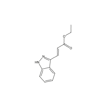 CCOC(=O)/C=C/c1n[nH]c2ccccc12